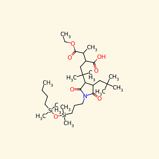 CCCC[Si](C)(C)O[Si](C)(C)CCCN1C(=O)C(CC(C)(C)C)C(C(C)(C)CC(C(=O)O)C(C)C(=O)OCC)C1=O